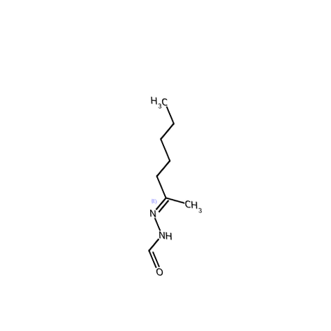 CCCCC/C(C)=N/NC=O